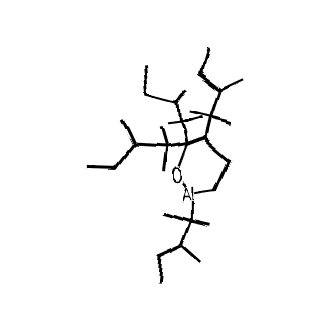 CCC(C)C(C)(C)C1C[CH2][Al]([C](C)(C)C(C)CC)[O]C1(C(C)(C)C(C)CC)C(C)(C)C(C)CC